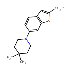 CCOC(=O)c1cc2ccc(N3CCC(C)(C)CC3)cc2s1